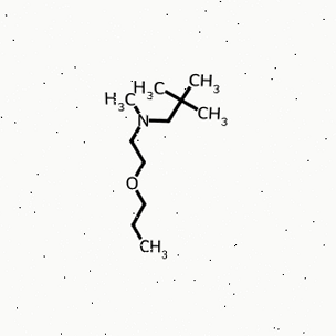 CCCOCCN(C)CC(C)(C)C